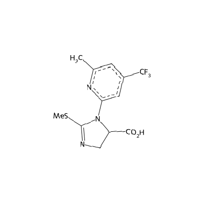 CSC1=NCC(C(=O)O)N1c1cc(C(F)(F)F)cc(C)n1